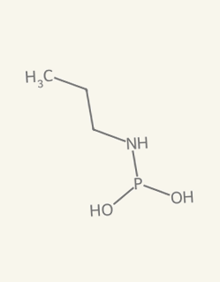 CCCNP(O)O